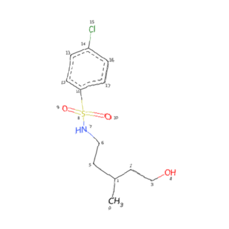 CC(CCO)CCNS(=O)(=O)c1ccc(Cl)cc1